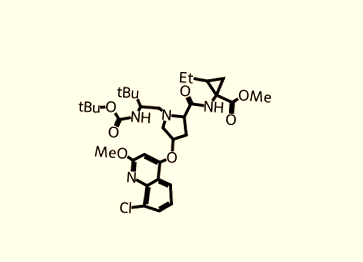 CCC1CC1(NC(=O)C1CC(Oc2cc(OC)nc3c(Cl)cccc23)CN1CC(NC(=O)OC(C)(C)C)C(C)(C)C)C(=O)OC